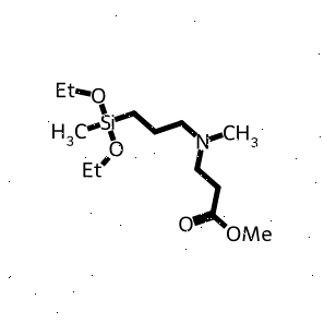 CCO[Si](C)(CCCN(C)CCC(=O)OC)OCC